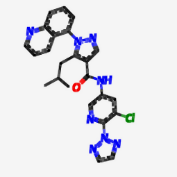 CC(C)Cc1c(C(=O)Nc2cnc(-n3nccn3)c(Cl)c2)cnn1-c1cccc2ncccc12